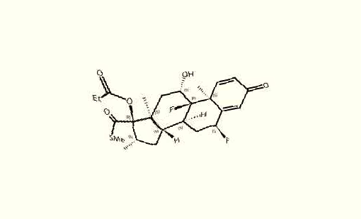 CCC(=O)O[C@]1(C(=O)SC)[C@@H](C)C[C@H]2[C@@H]3C[C@H](F)C4=CC(=O)C=C[C@]4(C)[C@@]3(F)[C@@H](O)C[C@@]21C